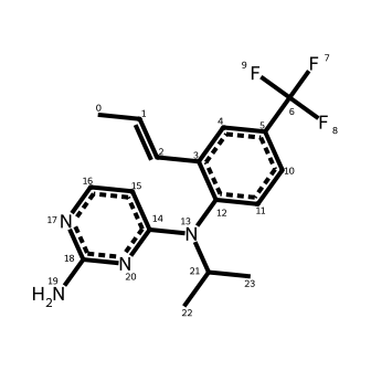 C/C=C/c1cc(C(F)(F)F)ccc1N(c1ccnc(N)n1)C(C)C